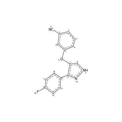 N#Cc1cccc(Oc2c[nH]nc2-c2ccc(F)cc2)c1